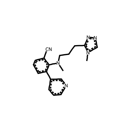 CN(CCCc1nncn1C)c1c(C#N)cccc1-c1cccnc1